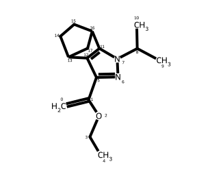 C=C(OCC)c1nn(C(C)C)c2c1C1CCC2C1